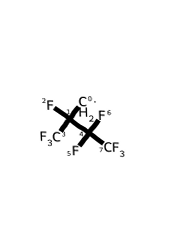 [CH2]C(F)(C(F)(F)F)C(F)(F)C(F)(F)F